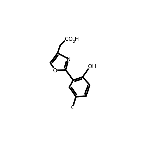 O=C(O)Cc1coc(-c2cc(Cl)ccc2O)n1